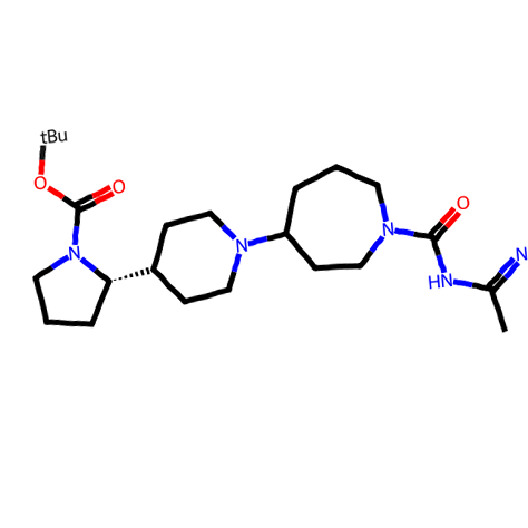 CC(=N)NC(=O)N1CCCC(N2CCC([C@@H]3CCCN3C(=O)OC(C)(C)C)CC2)CC1